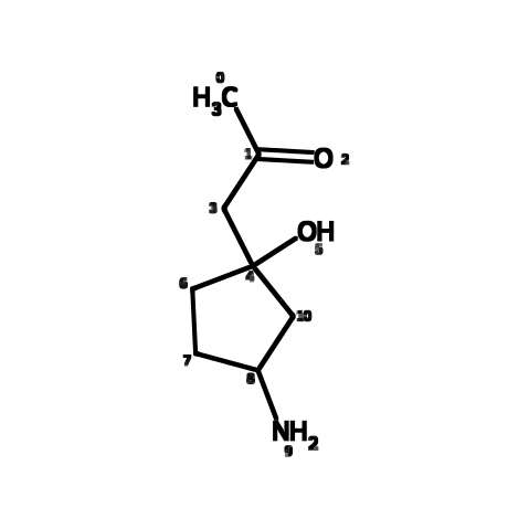 CC(=O)CC1(O)CCC(N)C1